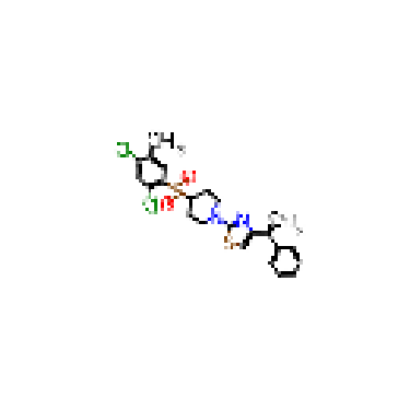 C=C(c1ccccc1)c1csc(N2CCC(S(=O)(=O)c3cc(C)c(Cl)cc3Cl)CC2)n1